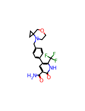 NC(=O)c1cc(-c2ccc(CN3CCOCC34CC4)cc2)c(C(F)(F)F)[nH]c1=O